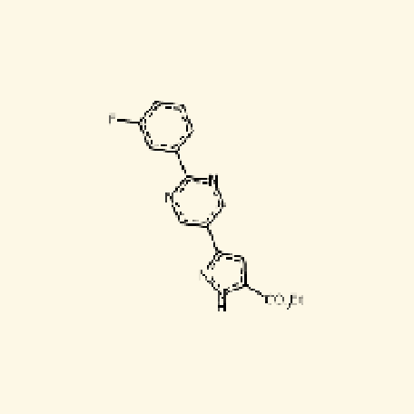 CCOC(=O)c1cc(-c2cnc(-c3cccc(F)c3)nc2)n[nH]1